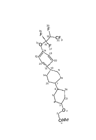 COCOC1CCC(C2CCC(c3ccc(OC(F)(F)C(F)C(F)(F)F)cc3)CC2)CC1